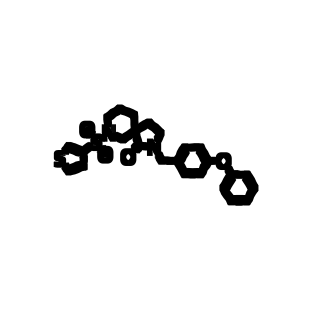 O=C1N(Cc2ccc(Oc3ccccc3)cc2)CCC12CCCN(S(=O)(=O)c1ccsc1)C2